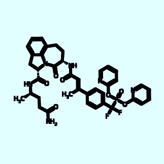 C/C(=C\C(=O)N[C@H]1CCc2cccc3c2N(C1=O)[C@H](C(=O)N[C@H](C)CCC(N)=O)C3)c1ccc(C(F)(F)P(=O)(Oc2ccccn2)Oc2ccccn2)cc1